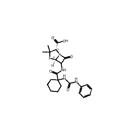 CC1(C)S[C@@H]2C(NC(=O)C3(NC(=O)Nc4ccccc4)CCCCC3)C(=O)N2[C@H]1C(=O)O